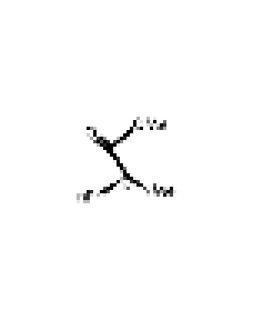 CCC[C@H](NC)C(=O)OC